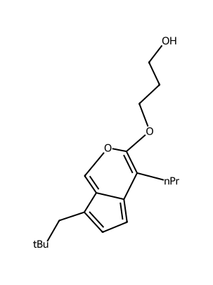 CCCc1c2ccc(CC(C)(C)C)c-2coc1OCCCO